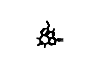 CCC12C=CC3(CC1C(C)=O)C(c1c(ccc(O)c1C)C(C)N(C)C3C)C2C